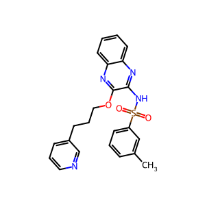 Cc1cccc(S(=O)(=O)Nc2nc3ccccc3nc2OCCCc2cccnc2)c1